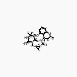 COc1cccc2c1C(NC(=O)[C@@H]1C[C@H]1CN1C(=N)NC(C)(C)CC1=O)CC(C)O2